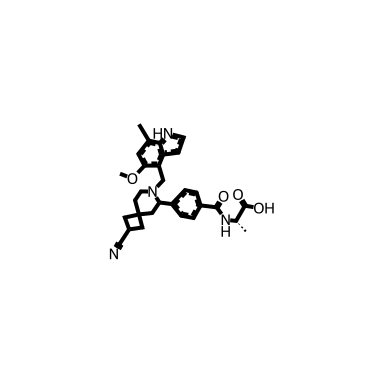 COc1cc(C)c2[nH]ccc2c1CN1CCC2(CC(C#N)C2)CC1c1ccc(C(=O)N[C@@H](C)C(=O)O)cc1